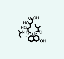 CCC(C)C(=O)O[C@H]1C[C@H](O)C=C2C=C[C@H](C)[C@H](CCC(O)CC(O)CC(=O)O)[C@H]21.CCC(C)N